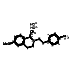 COc1ccc2c(c1)CCN(CCc1ccc(N)cc1)C2C.Cl.Cl